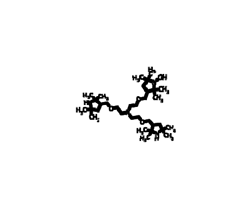 CC1(C)CC(COCCN(CCOCC2CC(C)(C)NC2(C)C)CCOCC2CC(C)(C)N(O)C2(C)C)C(C)(C)N1